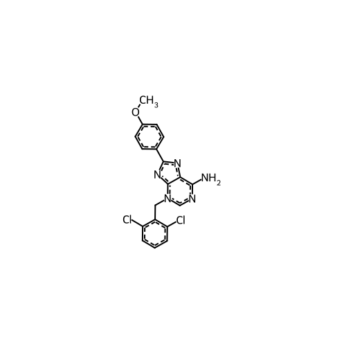 COc1ccc(-c2nc3c(N)ncn(Cc4c(Cl)cccc4Cl)c-3n2)cc1